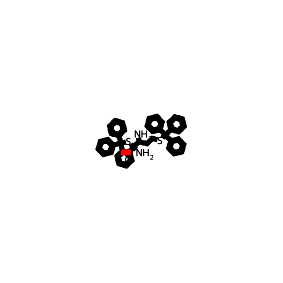 CC(=O)C(N)(SC(c1ccccc1)(c1ccccc1)c1ccccc1)C(N)CCSC(c1ccccc1)(c1ccccc1)c1ccccc1